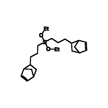 CCO[Si](CCCC1CC2C=CC1C2)(CCCC1CC2C=CC1C2)OCC